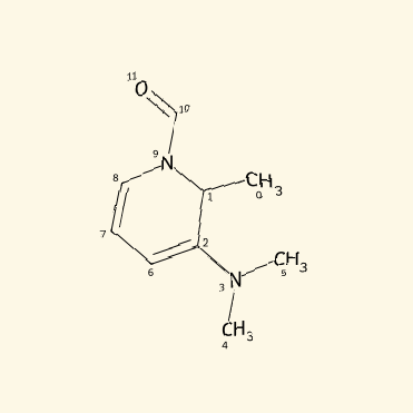 CC1C(N(C)C)=CC=CN1C=O